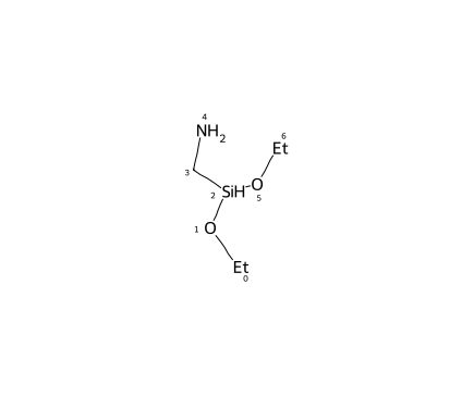 CCO[SiH](CN)OCC